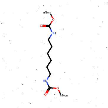 CCCCCCCCCOC(=O)NCCCCCCNC(=O)OCCCCCCCCC